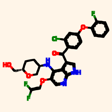 O=C(c1ccc(Oc2ccccc2F)cc1Cl)c1c[nH]c2ncc(OC=C(F)F)c(N[C@@H]3CC[C@@H](CO)OC3)c12